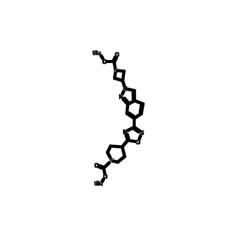 CC(C)(C)OC(=O)N1CCC(c2nc(-c3ccc4cn(C5CN(C(=O)OC(C)(C)C)C5)nc4c3)no2)CC1